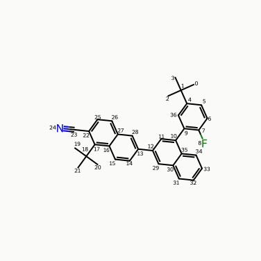 CC(C)(C)c1ccc(F)c(-c2cc(-c3ccc4c(C(C)(C)C)c(C#N)ccc4c3)cc3ccccc23)c1